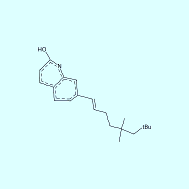 CC(C)(C)CC(C)(C)CCC=Cc1ccc2ccc(O)nc2c1